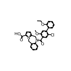 CCOc1ccccc1-c1cc(OC)c(C(=O)N2Cc3ccc(C(=O)O)n3Cc3ccccc32)cc1Cl